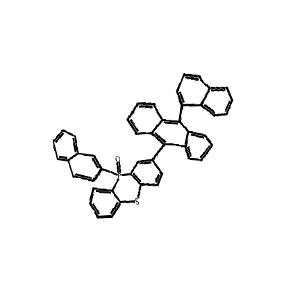 O=P1(c2ccc3ccccc3c2)c2ccccc2Sc2ccc(-c3c4ccccc4c(-c4cccc5ccccc45)c4ccccc34)cc21